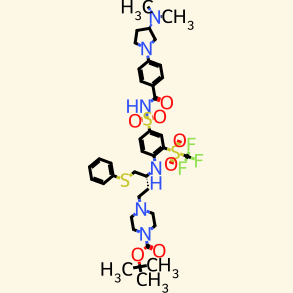 CN(C)[C@@H]1CCN(c2ccc(C(=O)NS(=O)(=O)c3ccc(N[C@H](CCN4CCN(C(=O)OC(C)(C)C)CC4)CSc4ccccc4)c(S(=O)(=O)C(F)(F)F)c3)cc2)C1